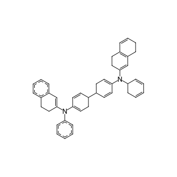 C1=CCC(N(C2=CCC(C3C=CC(N(C4=Cc5ccccc5CC4)c4ccccc4)=CC3)C=C2)C2=CC3=C(C=CCC3)CC2)C=C1